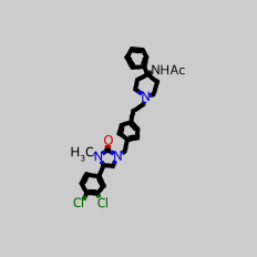 CC(=O)NC1(c2ccccc2)CCN(CCc2ccc(CN3CC(c4ccc(Cl)c(Cl)c4)N(C)C3=O)cc2)CC1